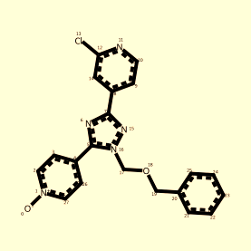 [O-][n+]1ccc(-c2nc(-c3ccnc(Cl)c3)nn2COCc2ccccc2)cc1